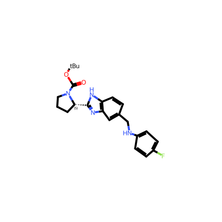 CC(C)(C)OC(=O)N1CCC[C@H]1c1nc2cc(CNc3ccc(F)cc3)ccc2[nH]1